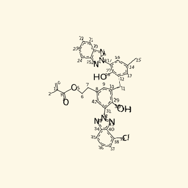 C=C(C)C(=O)OCCc1cc(Cc2cc(C)cc(-n3nc4ccccc4n3)c2O)c(O)c(-n2nc3cccc(Cl)c3n2)c1